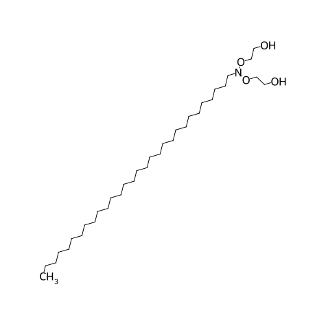 CCCCCCCCCCCCCCCCCCCCCCCCCCCCCCN(OCCO)OCCO